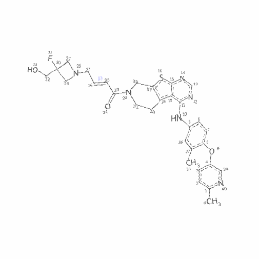 Cc1ccc(Oc2ccc(Nc3ncnc4sc5c(c34)CCN(C(=O)/C=C/CN3CC(F)(CO)C3)C5)cc2C)cn1